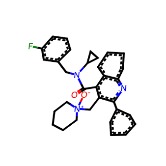 O=C(c1c(C[N+]2([O-])CCCCC2)c(-c2ccccc2)nc2ccccc12)N(Cc1cccc(F)c1)C1CC1